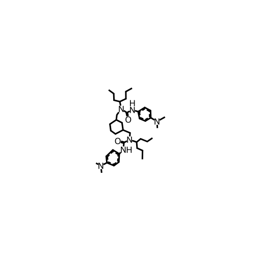 CCCC(CCC)N(CC1CCCC(CN(C(=O)Nc2ccc(N(C)C)cc2)C(CCC)CCC)C1)C(=O)Nc1ccc(N(C)C)cc1